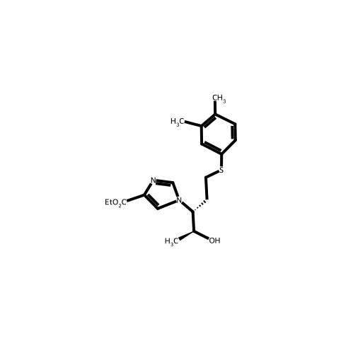 CCOC(=O)c1cn([C@H](CCSc2ccc(C)c(C)c2)[C@H](C)O)cn1